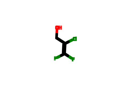 OCC(Cl)=C(F)F